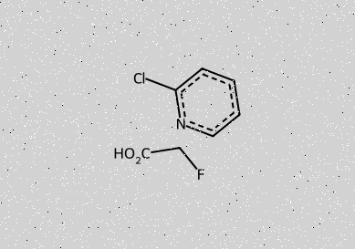 Clc1ccccn1.O=C(O)CF